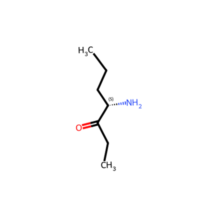 CCC[C@H](N)C(=O)CC